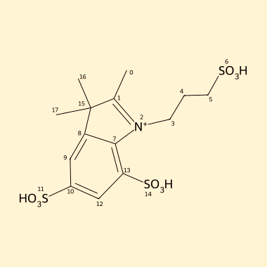 CC1=[N+](CCCS(=O)(=O)O)c2c(cc(S(=O)(=O)O)cc2S(=O)(=O)O)C1(C)C